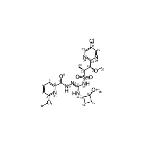 COc1cccc(C(=O)N/N=C(\N[C@H]2CC[C@@H]2OC)NS(=O)(=O)[C@@H](C)[C@H](OC)c2ncc(Cl)cn2)n1